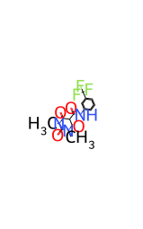 CN1C(=O)C(C(=O)Nc2cccc(C(F)(F)F)c2)C(=O)N(C)C1=O